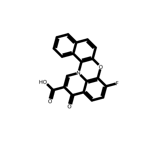 O=C(O)c1cn2c3c(c(F)ccc3c1=O)Oc1ccc3ccccc3c1-2